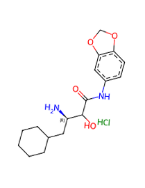 Cl.N[C@H](CC1CCCCC1)C(O)C(=O)Nc1ccc2c(c1)OCO2